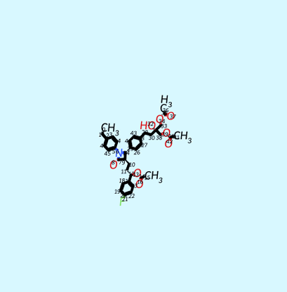 CCc1ccc(N2C(=O)[C@H](CC[C@H](OC(C)=O)c3ccc(F)cc3)[C@H]2c2ccc(CCC(O)(COC(C)=O)COC(C)=O)cc2)cc1